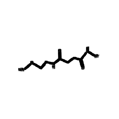 CCCOCCNC(=O)CCC(=O)NC(C)C